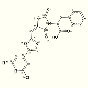 O=C(O)C(Cc1ccccc1)N1C(=O)/C(=C\c2ccc(-c3cc(Cl)nc(Cl)c3)o2)NC1=S